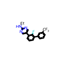 CCNc1ncc(-c2cccc(-c3cccc(C(F)(F)F)c3)c2F)cn1